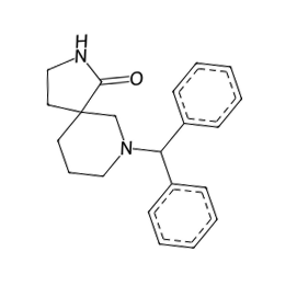 O=C1NCCC12CCCN(C(c1ccccc1)c1ccccc1)C2